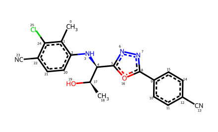 Cc1c(N[C@@H](c2nnc(-c3ccc(C#N)cc3)o2)[C@@H](C)O)ccc(C#N)c1Cl